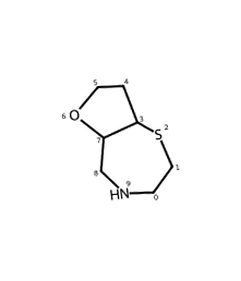 C1CSC2CCOC2CN1